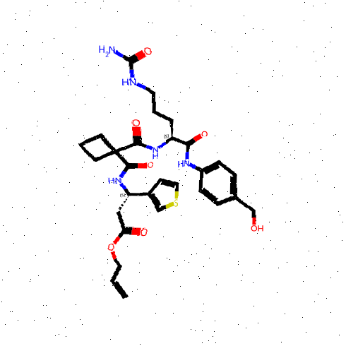 C=CCOC(=O)C[C@H](NC(=O)C1(C(=O)N[C@@H](CCCNC(N)=O)C(=O)Nc2ccc(CO)cc2)CCC1)c1ccsc1